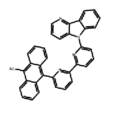 N#Cc1c2ccccc2c(-c2cccc(-c3cccc(-n4c5ccccc5c5ncccc54)n3)n2)c2ccccc12